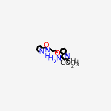 Cc1nc2cccc(OCCCNC(=O)c3ccccn3)c2c(N)c1C(=O)O